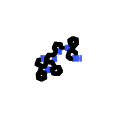 C1=Cc2c(c3ccccc3n2-c2cccc(-c3cccc(-c4ccccc4-n4c5ccccc5c5ccncc54)n3)n2)CN1